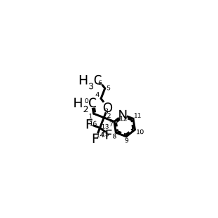 C=CC(OCCC)(c1ccccn1)C(F)(F)F